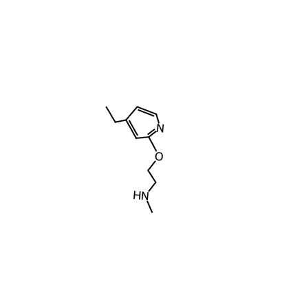 CCc1ccnc(OCCNC)c1